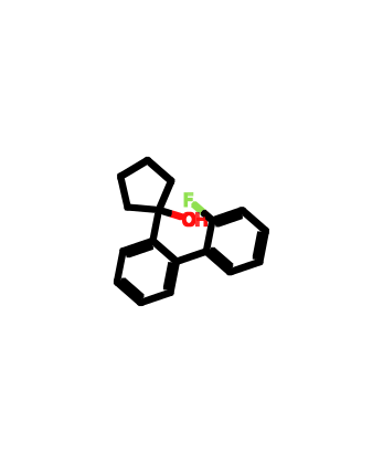 OC1(c2ccccc2-c2ccccc2F)CCCC1